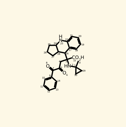 CC1(NC(CC(=O)C(=O)c2ccccc2)(C(=O)O)C2c3ccccc3NC3CCCC32)CC1